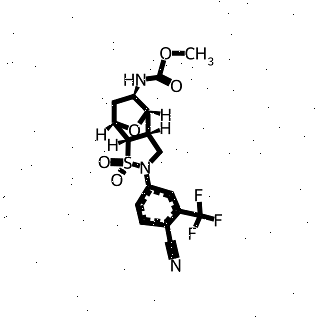 COC(=O)N[C@@H]1C[C@@H]2O[C@H]1[C@@H]1CN(c3ccc(C#N)c(C(F)(F)F)c3)S(=O)(=O)[C@@H]12